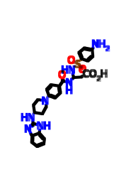 Nc1ccc(S(=O)(=O)NC(CC(=O)O)NC(=O)c2ccc(N3CCC(Nc4nc5ccccc5[nH]4)CC3)cc2)cc1